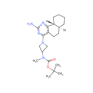 CN(C(=O)OC(C)(C)C)C1CN(c2nc(N)nc3c2CC[C@@H]2CCCC[C@@H]32)C1